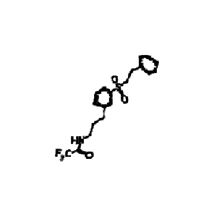 O=C(NCCCc1cccc(S(=O)(=O)CCc2ccccc2)c1)C(F)(F)F